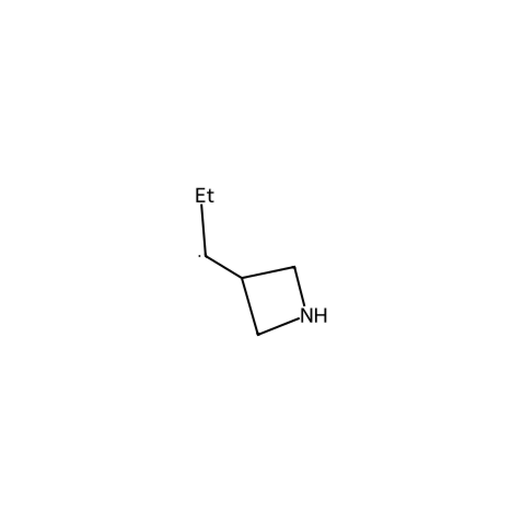 CC[CH]C1CNC1